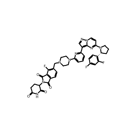 O=C1CCC(N2C(=O)c3ccc(CN4CCN(c5cccc(-c6cnn7ccc(N8CCC[C@@H]8c8ccc(F)cc8F)nc67)n5)CC4)c(F)c3C2=O)C(=O)N1